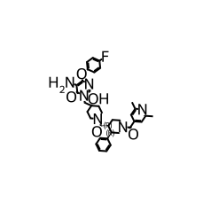 Cc1cc(C(=O)N2CC[C@@H](C(=O)N3CCC(O)(Cn4cnc(Oc5ccc(F)cc5)c(N)c4=O)CC3)[C@H](c3ccccc3)C2)cc(C)n1